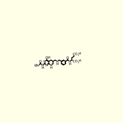 CC(C)(C)C(=O)Nc1nc(O)c2c(n1)NCC(CNCc1cccc(C(=O)N[C@@H](CCC(=O)O)C(=O)O)c1)C2